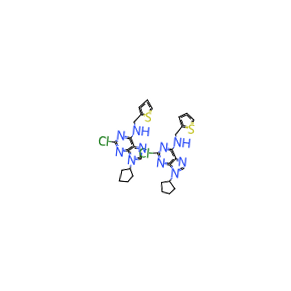 Clc1nc(NCc2cccs2)c2ncn(C3CCCC3)c2n1.Clc1nc(NCc2cccs2)c2ncn(C3CCCC3)c2n1